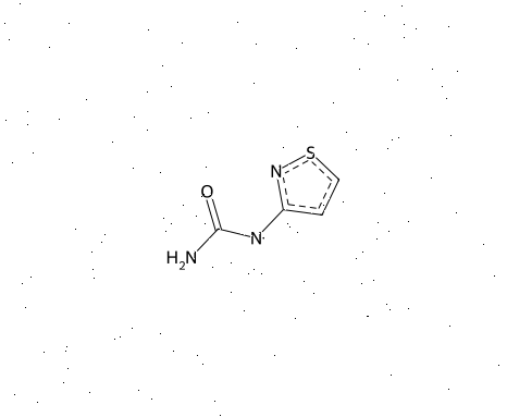 NC(=O)[N]c1ccsn1